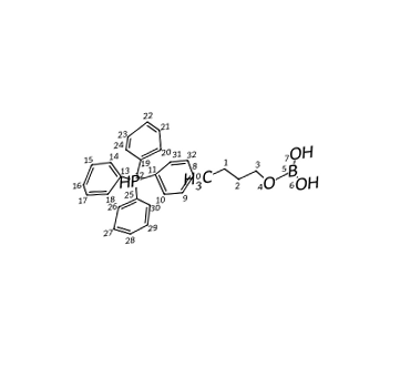 CCCCOB(O)O.c1ccc([PH](c2ccccc2)(c2ccccc2)c2ccccc2)cc1